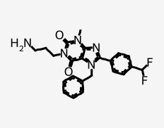 Cn1c(=O)n(CCCN)c(=O)c2c1nc(-c1ccc(C(F)F)cc1)n2Cc1ccccc1